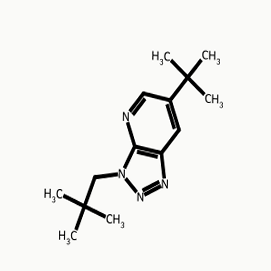 CC(C)(C)Cn1nnc2cc(C(C)(C)C)cnc21